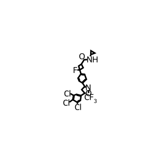 O=C(NC1CC1)C1CC(F)(c2ccc(C3=NOC(c4cc(Cl)c(Cl)c(Cl)c4)(C(F)(F)F)C3)cc2)C1